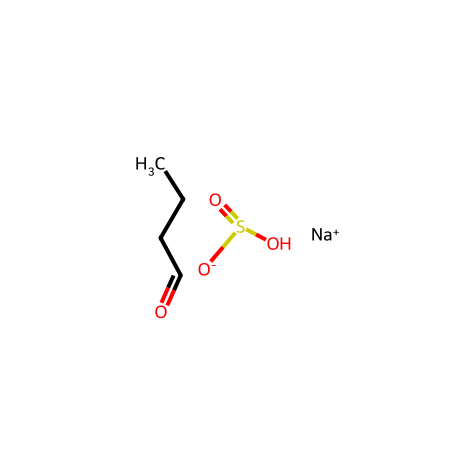 CCCC=O.O=S([O-])O.[Na+]